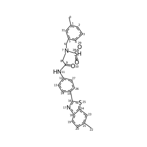 Cc1cccc(CN(CC(=O)Nc2ccc(-c3nc4ccc(C)cc4s3)cc2)[SH](=O)=O)c1